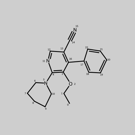 CCOc1c(N2CCCCC2)ncc(C#N)c1-c1ccccc1